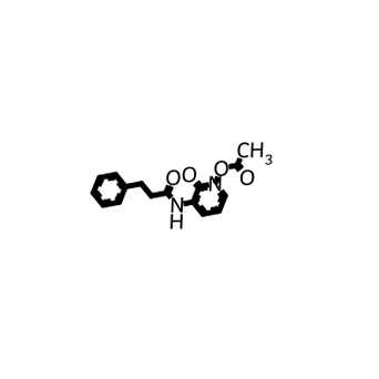 CC(=O)On1cccc(NC(=O)CCc2ccccc2)c1=O